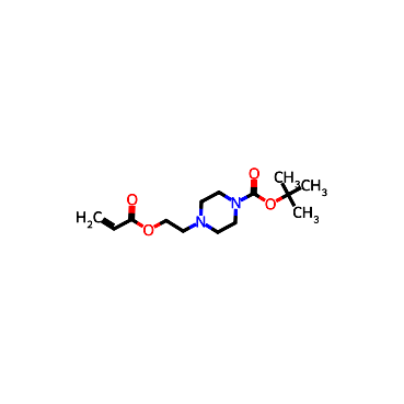 C=CC(=O)OCCN1CCN(C(=O)OC(C)(C)C)CC1